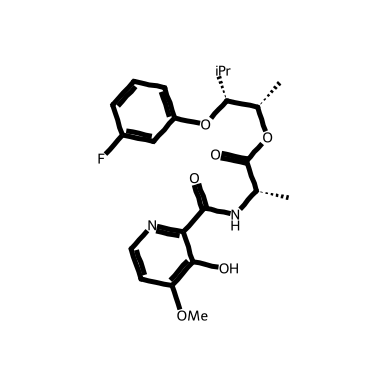 COc1ccnc(C(=O)N[C@@H](C)C(=O)O[C@@H](C)[C@H](Oc2cccc(F)c2)C(C)C)c1O